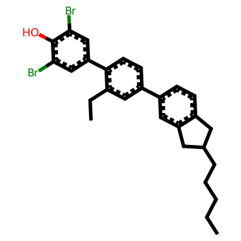 CCCCCC1Cc2ccc(-c3ccc(-c4cc(Br)c(O)c(Br)c4)c(CC)c3)cc2C1